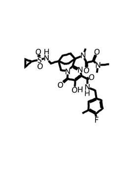 Cc1cc(CNC(=O)c2nc3n(c(=O)c2O)CC2(CNS(=O)(=O)C4CC4)CCC3(N(C)C(=O)C(=O)N(C)C)CC2)ccc1F